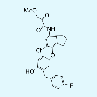 COCC(=O)C(=O)Nc1cc(Cl)c(Oc2ccc(O)c(Cc3ccc(F)cc3)c2)c2c1CCC2